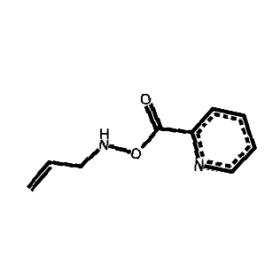 C=CCNOC(=O)c1ccccn1